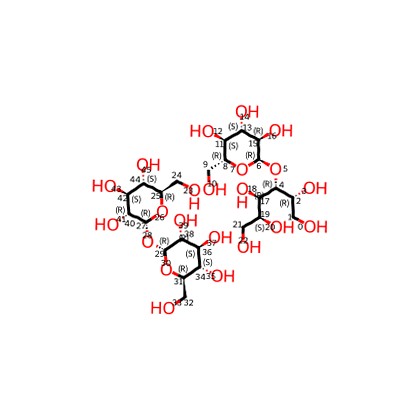 OC[C@@H](O)[C@@H](O[C@H]1O[C@H](CO)[C@@H](O)[C@H](O)[C@H]1O)[C@H](O)[C@@H](O)CO.OC[C@H]1O[C@H](O[C@H]2O[C@H](CO)[C@@H](O)[C@H](O)[C@H]2O)[C@H](O)[C@@H](O)[C@@H]1O